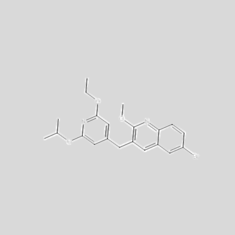 CCOc1cc(Cc2cc3cc(Br)ccc3nc2OC)cc(OC(C)C)n1